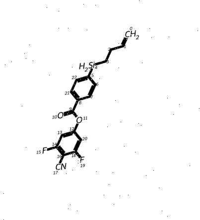 C=CCC[SiH2]c1ccc(C(=O)Oc2cc(F)c(C#N)c(F)c2)cc1